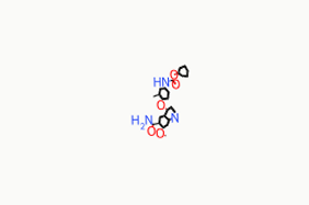 COc1cc2nccc(Oc3ccc(NC(=O)Oc4ccccc4)cc3C)c2cc1C(N)=O